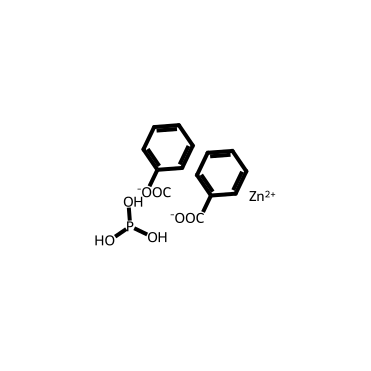 O=C([O-])c1ccccc1.O=C([O-])c1ccccc1.OP(O)O.[Zn+2]